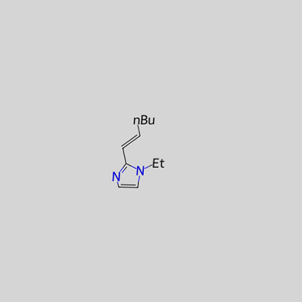 CCCCC=Cc1nccn1CC